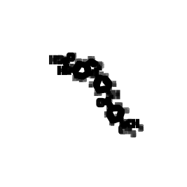 CN(C)c1ccc(C(=O)Nc2ccc(-n3ncc4cc(NC(=O)O)ccc43)cc2)cc1